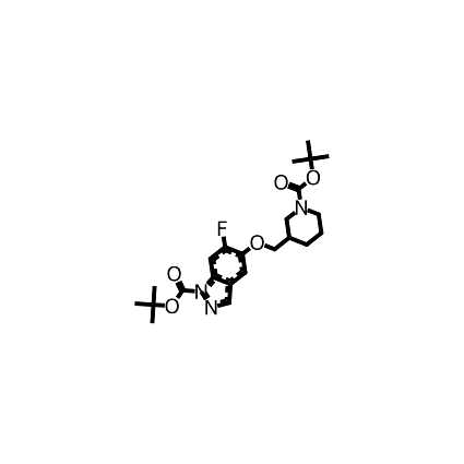 CC(C)(C)OC(=O)N1CCCC(COc2cc3cnn(C(=O)OC(C)(C)C)c3cc2F)C1